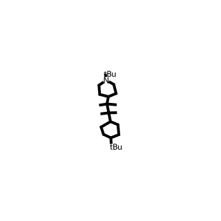 CC(C)(C)C1CCC(C(C)(C)C(C)(C)C2CCN(C(C)(C)C)CC2)CC1